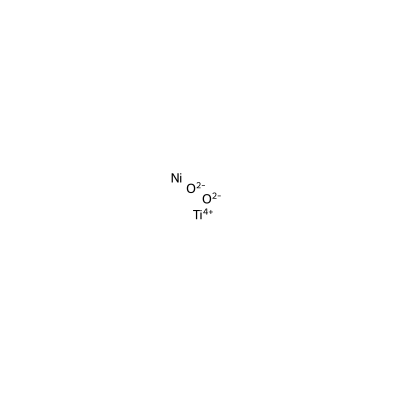 [Ni].[O-2].[O-2].[Ti+4]